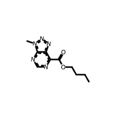 CCCCOC(=O)c1ncnc2c1nnn2C